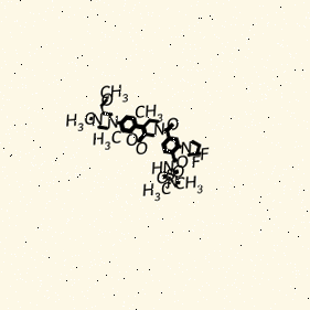 COC[C@H]1CN(c2cc(C)c3c4c(c(=O)oc3c2C)CN(C(=O)c2ccc(C(=O)NS(=O)(=O)N(C)C)c(N3CCC(F)(F)C3)c2)CC4)CCN1C